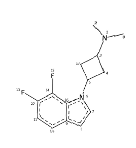 CN(C)C1CC(n2ccc3ccc(F)c(F)c32)C1